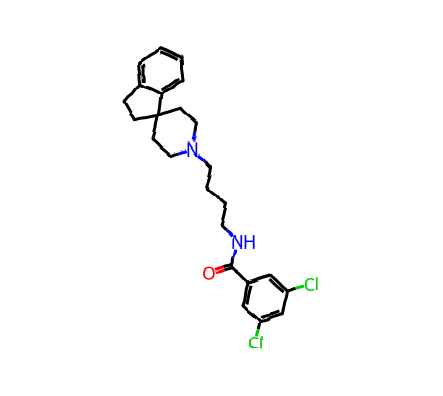 O=C(NCCCCN1CCC2(CCc3ccccc32)CC1)c1cc(Cl)cc(Cl)c1